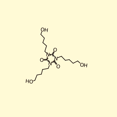 O=c1n(CCCCCO)c(=O)n(CCCCCO)c(=O)n1CCCCCO